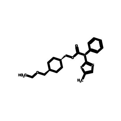 Cc1cnc(N(C(=O)OC[C@H]2CC[C@H](COCC(=O)O)CC2)c2ccccc2)s1